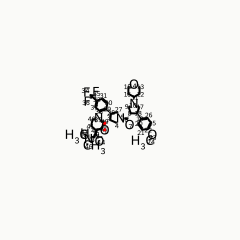 COC[C@H]1CN(C(=O)[C@@H]2CN(C3CCOCC3)C[C@H]2c2ccc(OC)cc2)C[C@@H]1c1ccc(C(F)(F)F)cc1N1CCC(C(=O)N(C)C)CC1